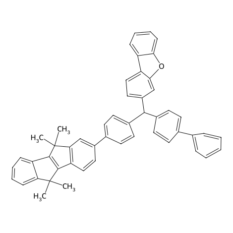 CC1(C)C2=C(c3ccccc31)C(C)(C)c1cc(-c3ccc(C(c4ccc(-c5ccccc5)cc4)c4ccc5c(c4)oc4ccccc45)cc3)ccc12